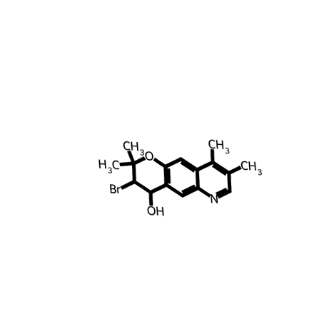 Cc1cnc2cc3c(cc2c1C)OC(C)(C)C(Br)C3O